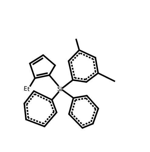 CCC1=C([Si](c2ccccc2)(c2ccccc2)c2cc(C)cc(C)c2)CC=C1